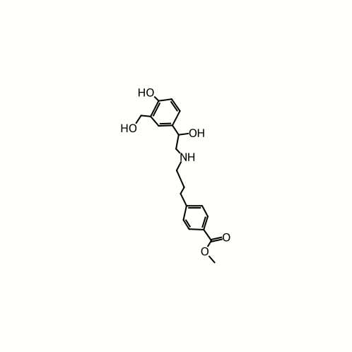 COC(=O)c1ccc(CCCNCC(O)c2ccc(O)c(CO)c2)cc1